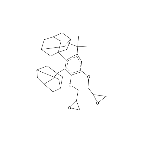 CC(C)(C)c1cc(OCC2CO2)c(OCC2CO2)c(C23CC4CC(CC(C4)C2)C3)c1C12CC3CC(CC(C3)C1)C2